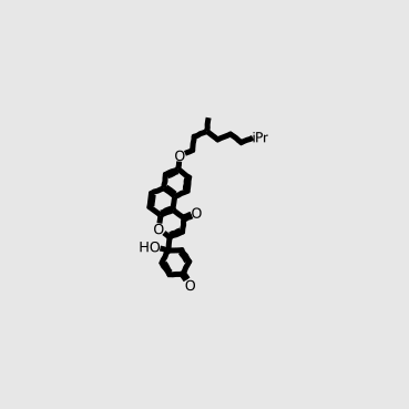 CC(C)CCCC(C)CCOc1ccc2c(ccc3oc(C4(O)C=CC(=O)C=C4)cc(=O)c32)c1